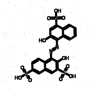 O=S(=O)(O)c1ccc2c(N=Nc3c(O)cc(S(=O)(=O)O)c4ccccc34)c(O)c(S(=O)(=O)O)cc2c1